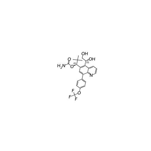 CC(C)(C)[C@H](OC(N)=O)c1cc(-c2ccc(OC(F)(F)F)cc2)c2ncccc2c1[C@H](O)CO